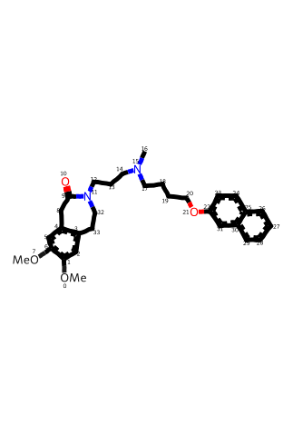 COc1cc2c(cc1OC)CC(=O)N(CCCN(C)CCCCOc1ccc3ccccc3c1)CC2